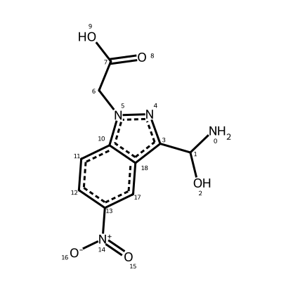 NC(O)c1nn(CC(=O)O)c2ccc([N+](=O)[O-])cc12